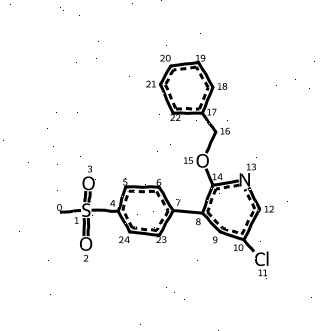 CS(=O)(=O)c1ccc(-c2cc(Cl)cnc2OCc2ccccc2)cc1